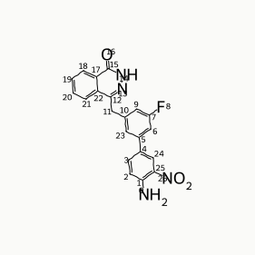 Nc1ccc(-c2cc(F)cc(Cc3n[nH]c(=O)c4ccccc34)c2)cc1[N+](=O)[O-]